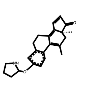 CC1=C2C(=C3C=CC(=O)[C@@]3(C)C1)CCc1cc(OC3CCCN3)ccc12